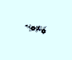 CCOC(=O)Nc1ccc(N2N=C(C)/C(=C\Nc3ccccc3OC)C2=O)cc1